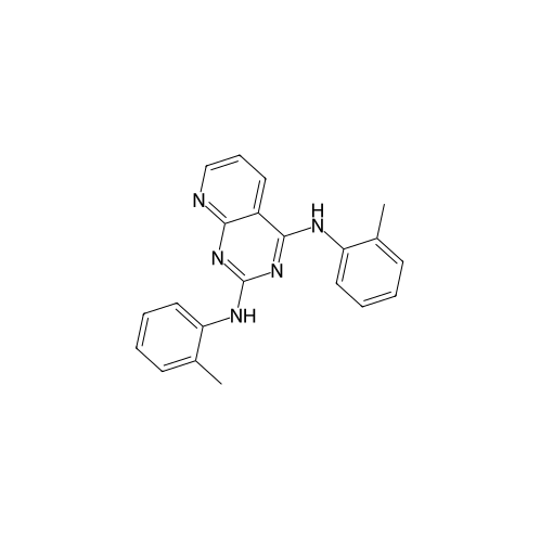 Cc1ccccc1Nc1nc(Nc2ccccc2C)c2cccnc2n1